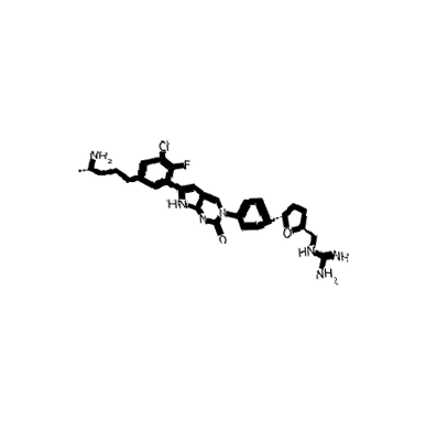 C[C@H](N)CCCc1cc(Cl)c(F)c(-c2cc3cn(-c4ccc([C@@H]5CC[C@@H](CNC(=N)N)O5)cc4)c(=O)nc3[nH]2)c1